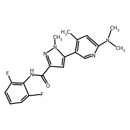 Cc1cc(N(C)C)ncc1-c1cc(C(=O)Nc2c(F)cccc2F)nn1C